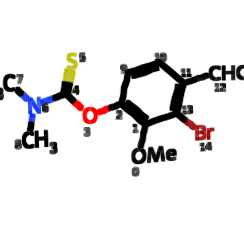 COc1c(OC(=S)N(C)C)ccc(C=O)c1Br